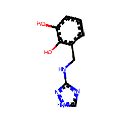 Oc1cccc(CNc2nc[nH]n2)c1O